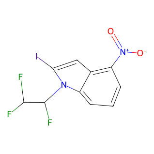 O=[N+]([O-])c1cccc2c1cc(I)n2C(F)C(F)F